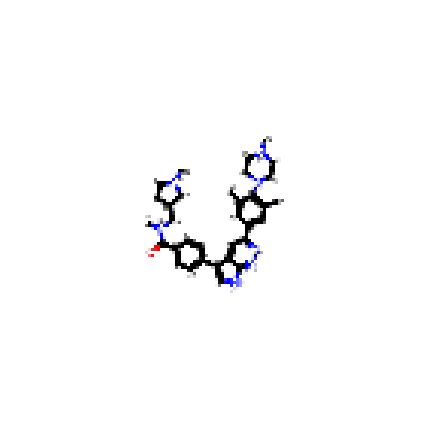 Cc1cc(-c2cc3c(-c4ccc(C(=O)N(C)CC5CCN(C)C5)cc4)c[nH]c3nn2)cc(C)c1N1CCN(C)CC1